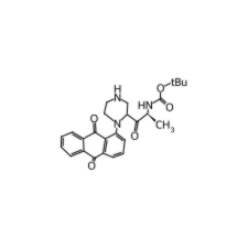 C[C@H](NC(=O)OC(C)(C)C)C(=O)C1CNCCN1c1cccc2c1C(=O)c1ccccc1C2=O